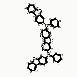 c1ccc(N(c2ccc3c(c2)oc2ccccc23)c2cc3oc4nc(N(c5ccccc5)c5ccc6c(c5)oc5ccccc56)cnc4c3nn2)cc1